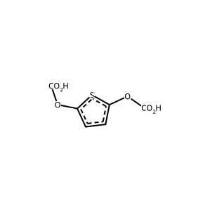 O=C(O)Oc1ccc(OC(=O)O)s1